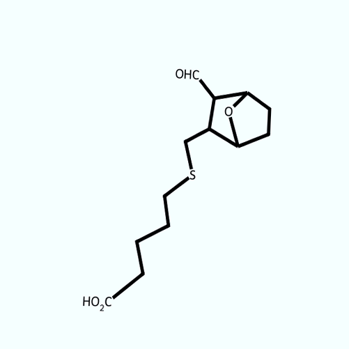 O=CC1C2CCC(O2)C1CSCCCCC(=O)O